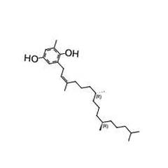 CC(=CCc1cc(O)cc(C)c1O)CCC[C@H](C)CCC[C@H](C)CCCC(C)C